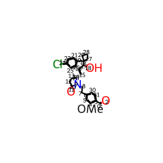 COC(=O)c1ccc(CCN2C(=O)CC[C@@H]2C=CC(O)C2(c3ccc(Cl)cc3)CCC2)cc1